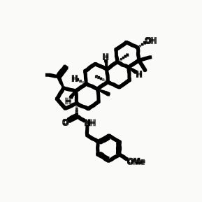 C=C(C)[C@@H]1CC[C@]2(C(=O)NCc3ccc(OC)cc3)CC[C@]3(C)[C@H](CC[C@@H]4[C@@]5(C)CC[C@H](O)C(C)(C)[C@@H]5CC[C@]43C)[C@@H]12